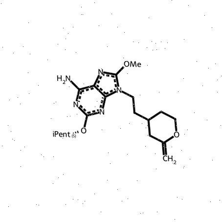 C=C1CC(CCn2c(OC)nc3c(N)nc(O[C@@H](C)CCC)nc32)CCO1